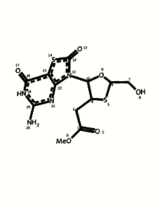 COC(=O)CC1SC(CO)OC1n1c(=O)sc2c(=O)[nH]c(N)nc21